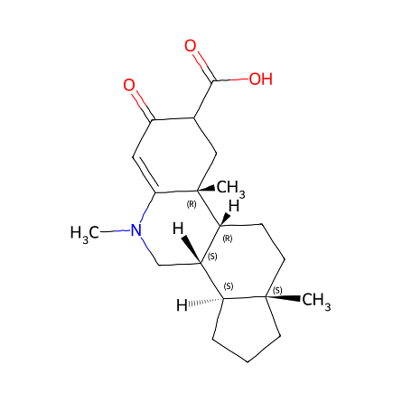 CN1C[C@@H]2[C@@H](CC[C@]3(C)CCC[C@@H]23)[C@@]2(C)CC(C(=O)O)C(=O)C=C12